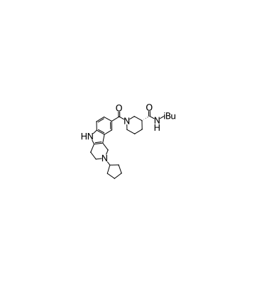 CCC(C)NC(=O)[C@@H]1CCCN(C(=O)c2ccc3[nH]c4c(c3c2)CN(C2CCCC2)CC4)C1